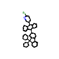 Brc1ccc(-c2c3ccccc3c(-c3ccc4c(c3)C(c3ccccc3)(c3ccccc3)c3ccccc3-4)c3ccccc23)cn1